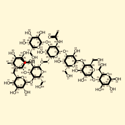 CC(=O)N[C@H]1[C@H](OC[C@H]2O[C@@H](O[C@H]3[C@@H](O)[C@@H](CO)O[C@H](O[C@@H]4[C@H](O)[C@@H](O)[C@H](O[C@H]5[C@H](O)[C@@H](O)[C@H](O)O[C@@H]5CO)O[C@@H]4CO)[C@@H]3O)[C@H](NC(C)=O)[C@@H](O[C@@H]3O[C@H](CO)[C@H](O)[C@H](O)[C@H]3O)[C@H]2O)O[C@H](CO)[C@@H](O[C@@H]2O[C@H](CO)[C@H](O)[C@H](O)[C@H]2O)[C@@H]1O[C@@H]1O[C@@H](C)[C@@H](O)[C@@H](O)[C@@H]1O